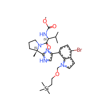 COC(=O)N[C@H](C(=O)N1CCC[C@@]1(C)c1nc(-c2ccc(Br)c3ccn(COCC[Si](C)(C)C)c23)c[nH]1)C(C)C